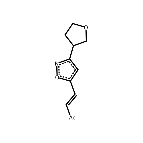 CC(=O)C=Cc1cc(C2CCOC2)no1